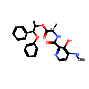 CC(OC(=O)[C@H](C)NC(=O)c1nccc(NC=O)c1O)C(Oc1ccccc1)c1ccccc1